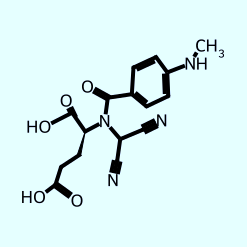 CNc1ccc(C(=O)N(C(C#N)C#N)[C@@H](CCC(=O)O)C(=O)O)cc1